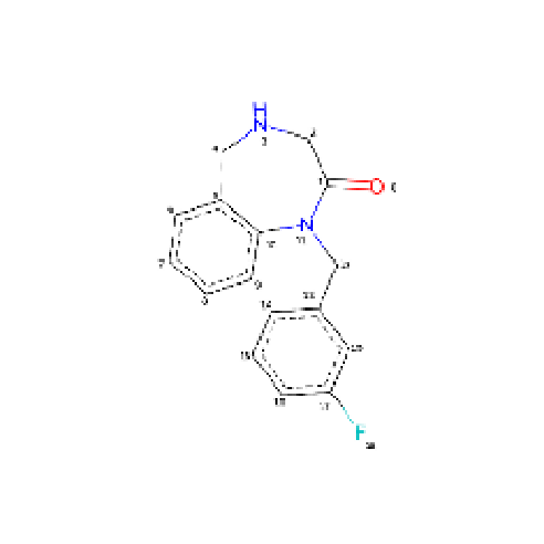 O=C1CNCc2ccccc2N1Cc1cccc(F)c1